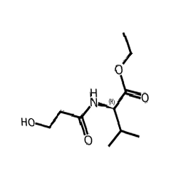 CCOC(=O)[C@H](NC(=O)CCO)C(C)C